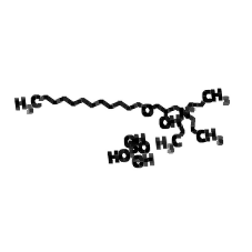 CCCCCCCCCCCCOCC(O)C[N+](CCC)(CCC)CCC.O=P(O)(O)O